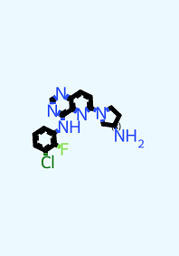 N[C@@H]1CCN(c2ccc3ncnc(Nc4cccc(Cl)c4F)c3n2)C1